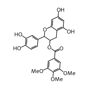 COc1cc(C(=O)OC2Cc3c(O)cc(O)cc3OC2c2ccc(O)c(O)c2)cc(OC)c1OC